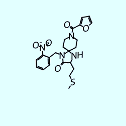 CSCCC1NC2(CCN(C(=O)c3ccco3)CC2)N(Cc2ccccc2[N+](=O)[O-])C1=O